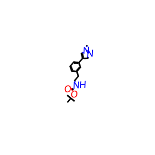 Cn1cc(-c2cccc(CCNC(=O)OC(C)(C)C)c2)cn1